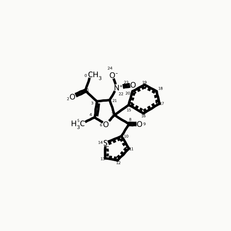 CC(=O)C1=C(C)OC(C(=O)c2cccs2)(c2ccccc2)C1[N+](=O)[O-]